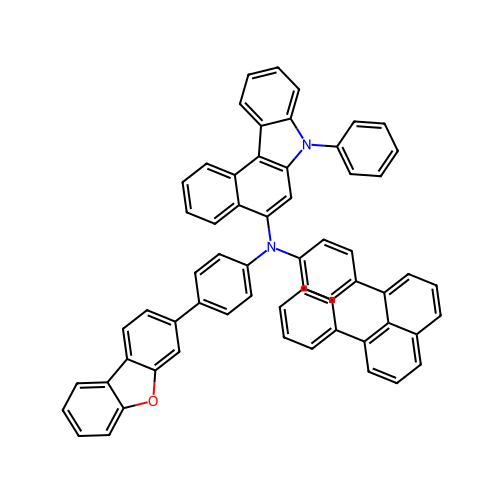 c1ccc(-c2cccc3cccc(-c4ccc(N(c5ccc(-c6ccc7c(c6)oc6ccccc67)cc5)c5cc6c(c7ccccc57)c5ccccc5n6-c5ccccc5)cc4)c23)cc1